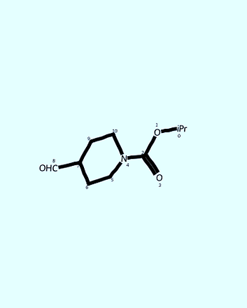 CC(C)OC(=O)N1CCC(C=O)CC1